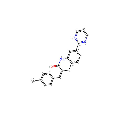 NC(=O)/C(=C\c1ccc(C(F)(F)F)cc1)Cc1ccc(-c2ncccn2)cc1